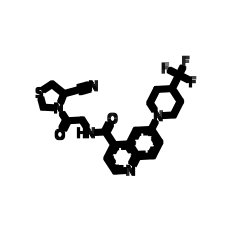 N#CC1CSCN1C(=O)CNC(=O)c1ccnc2ccc(N3CCC(C(F)(F)F)CC3)cc12